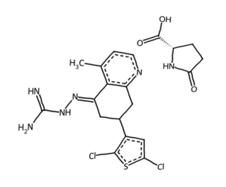 Cc1ccnc2c1C(=NNC(=N)N)CC(c1cc(Cl)sc1Cl)C2.O=C1CC[C@@H](C(=O)O)N1